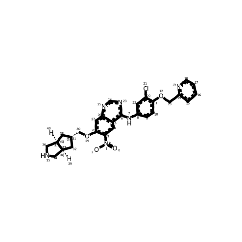 O=[N+]([O-])c1cc2c(Nc3ccc(OCc4ccccn4)c(Cl)c3)ncnc2cc1OC[C@@H]1C[C@H]2CNC[C@H]2C1